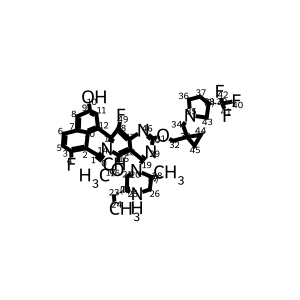 C#Cc1c(F)ccc2cc(O)cc(-c3nc(OC)c4c(N5C[C@@H](CC)NC[C@H]5C)nc(OCC5(CN6CC[C@H](C(F)(F)F)C6)CC5)nc4c3F)c12